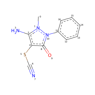 Cn1c(N)c(SC#N)c(=O)n1-c1ccccc1